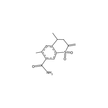 C=C1CC(C)c2cc(C)c(C(N)=O)cc2S1(=O)=O